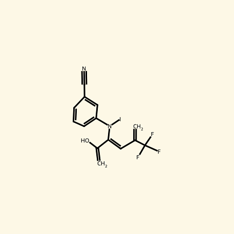 C=C(O)/C(=C/C(=C)C(F)(F)F)N(I)c1cccc(C#N)c1